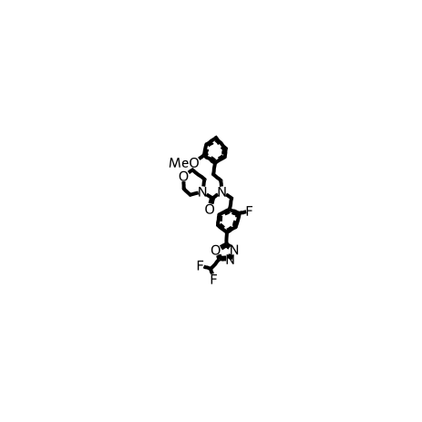 COc1ccccc1CCN(Cc1ccc(-c2nnc(C(F)F)o2)cc1F)C(=O)N1CCOCC1